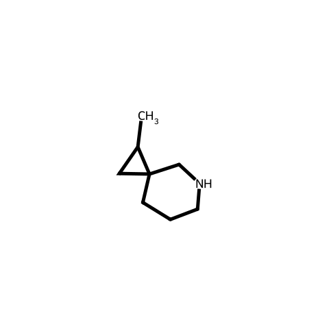 CC1CC12CCCNC2